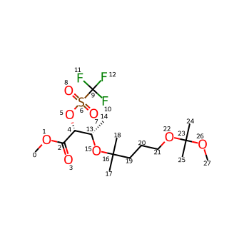 COC(=O)[C@H](OS(=O)(=O)C(F)(F)F)[C@H](C)OC(C)(C)CCCOC(C)(C)OC